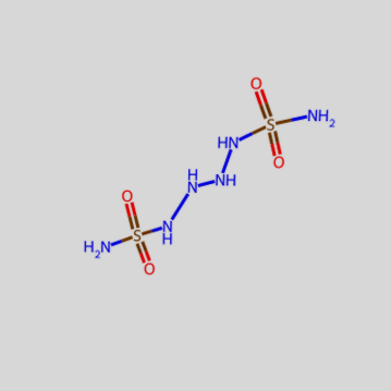 NS(=O)(=O)NNNNS(N)(=O)=O